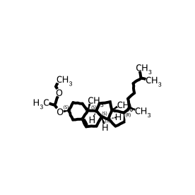 CCOC(C)O[C@H]1CC[C@@]2(C)C(=CC[C@H]3[C@@H]4CC[C@H]([C@H](C)CCCC(C)C)[C@@]4(C)CC[C@@H]32)C1